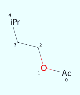 [CH2]C(=O)OCCC(C)C